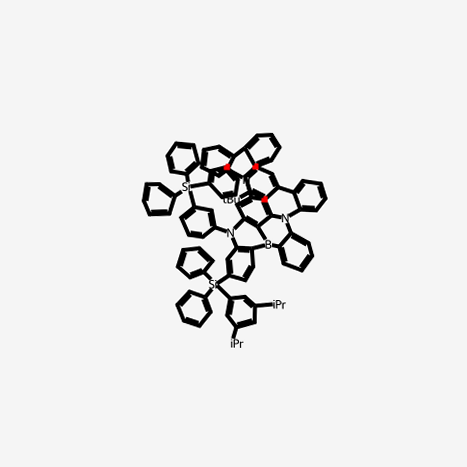 CC(C)c1cc(C(C)C)cc([Si](c2ccccc2)(c2ccccc2)c2ccc3c(c2)N(c2cccc([Si](c4ccccc4)(c4ccccc4)c4ccccc4)c2)c2cc(-n4c5ccccc5c5ccccc54)cc4c2B3c2ccccc2N4c2ccccc2-c2cccc(C(C)(C)C)c2)c1